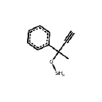 C#CC(C)(O[SiH3])c1ccccc1